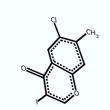 Cc1cc2occ(I)c(=O)c2cc1Cl